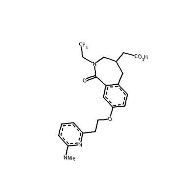 CNc1cccc(CCOc2ccc3c(c2)C(=O)N(CC(F)(F)F)CC(CC(=O)O)C3)n1